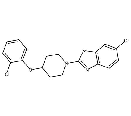 [O]c1ccc2nc(N3CCC(Oc4ccccc4Cl)CC3)sc2c1